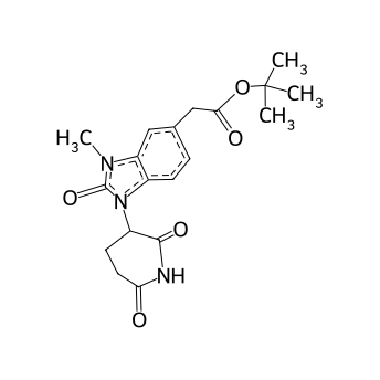 Cn1c(=O)n(C2CCC(=O)NC2=O)c2ccc(CC(=O)OC(C)(C)C)cc21